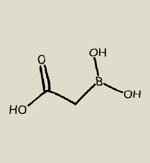 O=C(O)CB(O)O